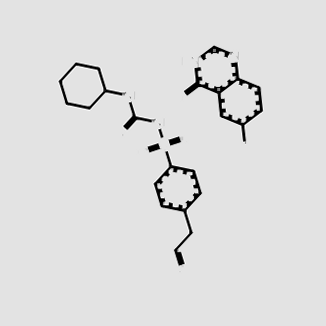 O=CCc1ccc(S(=O)(=O)NC(=O)NC2CCCCC2)cc1.O=c1[nH]cnc2ccc(Cl)cc12